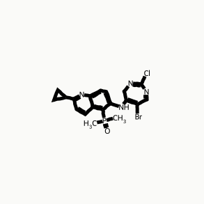 CP(C)(=O)c1c(NC2=C(Br)C=NC(Cl)=NC2)ccc2nc(C3CC3)ccc12